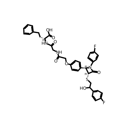 O=C(COc1ccc([C@@H]2[C@@H](SCC(O)c3ccc(F)cc3)C(=O)N2c2ccc(F)cc2)cc1)NCC(=O)N[C@H](CCc1ccccc1)C(=O)O